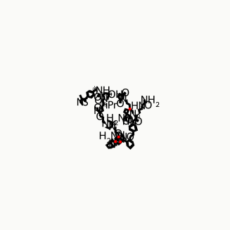 Cc1ncsc1-c1ccc([C@H](C)NC(=O)[C@@H]2C[C@@H](O)CN2C(=O)[C@@H](c2cc(OCCN3CCN(CCOc4cc(N5C6CCC5CN(c5cc(-c7ccccc7OCc7ccc(NC(=O)[C@H](CCCNC(N)=O)N(CCCCCN8C(=O)C=CC8=O)C(=O)C8(C(N)=O)CCC8)cc7)nnc5N)C6)ccn4)[C@H](C)C3)no2)C(C)C)cc1